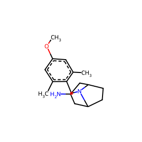 COc1cc(C)c(CN2C3CCC2CC(N)C3)c(C)c1